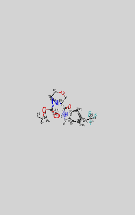 CC(NC(=O)[C@H]1COCCN1C(=O)OC(C)(C)C)c1ccc(C(F)(F)F)cc1